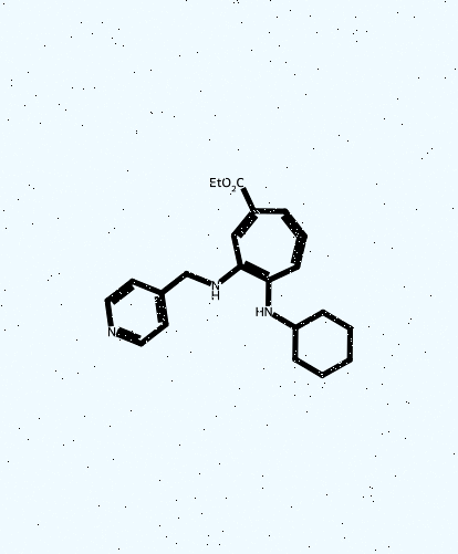 CCOC(=O)C1=CC(NCc2ccncc2)=C(NC2CCCCC2)C=C=C1